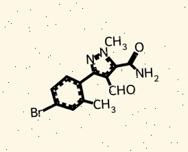 Cc1cc(Br)ccc1-c1nn(C)c(C(N)=O)c1C=O